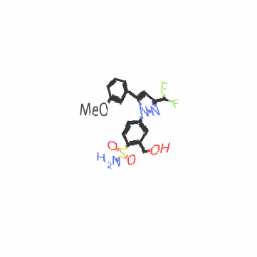 COc1cccc(-c2cc(C(F)F)nn2-c2ccc(S(N)(=O)=O)c(CO)c2)c1